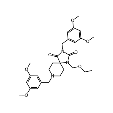 CCOCN1C(=O)N(Cc2cc(OC)cc(OC)c2)C(=O)C12CCN(Cc1cc(OC)cc(OC)c1)CC2